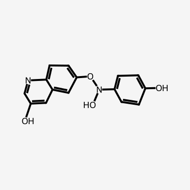 Oc1ccc(N(O)Oc2ccc3ncc(O)cc3c2)cc1